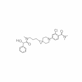 CN(C)C(=O)c1ccc(N2CCC3(CC2)CC3CCCN(C)C(=O)C(O)c2ccccc2)cc1Cl